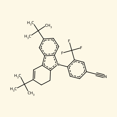 CC(C)(C)C1=Cc2c(n(-c3ccc(C#N)cc3C(F)(F)F)c3ccc(C(C)(C)C)cc23)CC1